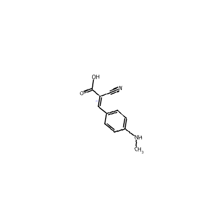 CNc1ccc(/C=C(\C#N)C(=O)O)cc1